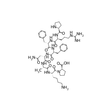 C[C@H](NC(=O)[C@H](CC(N)=O)NC(=O)[C@H](Cc1ccccc1)NC(=O)[C@H](Cc1ccccc1)NC(=O)[C@H](CCCNC(=N)N)NC(=O)[C@@H]1CCCN1)C(=O)N[C@@H](CCCCN)C(=O)N1CCC[C@@H]1C(=O)O